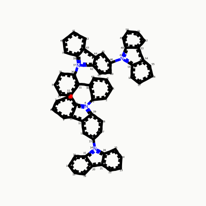 c1ccc(-n2c3ccccc3c3cc(-n4c5ccccc5c5ccccc54)ccc32)c(-c2ccccc2-n2c3ccccc3c3cc(-n4c5ccccc5c5ccccc54)ccc32)c1